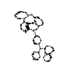 c1ccc(N(c2ccc(-n3c4cccc5oc6ccccc6c6cccc3c6c54)cc2)c2cccc3ccccc23)cc1